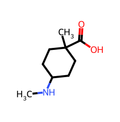 CNC1CCC(C)(C(=O)O)CC1